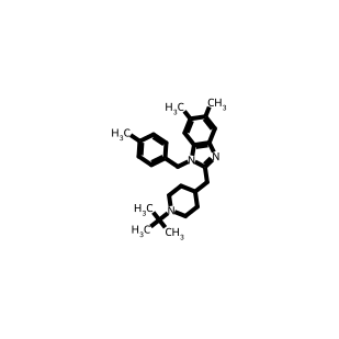 Cc1ccc(Cn2c(CC3CCN(C(C)(C)C)CC3)nc3cc(C)c(C)cc32)cc1